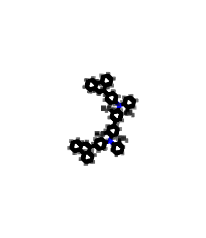 Cc1ccccc1N(c1ccc(-c2cc3ccccc3c3ccccc23)cc1)c1ccc(-c2ccc(N(c3ccc(-c4cc5ccccc5c5ccccc45)cc3)c3ccccc3C)c(C)c2)cc1C